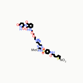 COc1nc(-c2cn(CCOCOCNc3cccc4c3C(=O)N(C3CCC(=O)NC3=O)C4=O)nn2)cnc1NS(=O)(=O)c1ccc(NC(=O)/C=C/c2ccc([N+](=O)[O-])s2)cc1